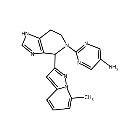 Cc1cccc2cc(C3c4nc[nH]c4CCN3c3ncc(N)cn3)nn12